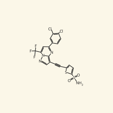 NS(=O)(=O)c1ccc(C#Cc2cnn3c(C(F)(F)F)cc(-c4ccc(Cl)c(Cl)c4)nc23)s1